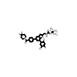 CC(C)(C)OC(=O)NCc1cc2cc(-c3ccc(C(=O)N4CCC(F)(F)CC4)cc3)cc(-c3cc(Cl)c(F)cc3F)c2o1